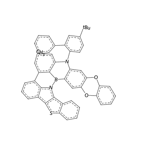 Cc1cc2c3c(c1)N(c1ccc(C(C)(C)C)cc1-c1ccccc1)c1cc4c(cc1B3n1c3c-2cccc3c2sc3ccccc3c21)Oc1ccccc1O4